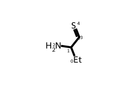 CCC(N)[C]=S